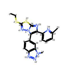 CCSc1nn2c(-c3ccc4nnn(C)c4c3)c(-c3cccc(C)n3)nc2s1